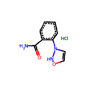 Cl.NC(=O)c1ccccc1N1C=CON1